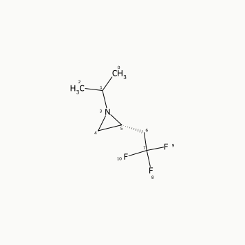 CC(C)N1C[C@H]1CC(F)(F)F